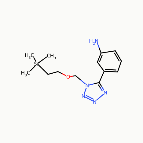 C[Si](C)(C)CCOCn1nnnc1-c1cccc(N)c1